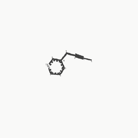 CC#CCc1[c]ccnc1